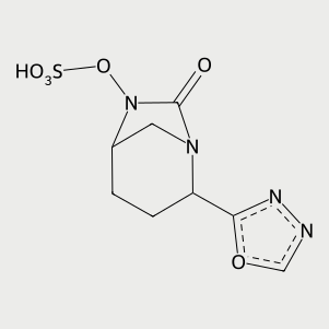 O=C1N2CC(CCC2c2nnco2)N1OS(=O)(=O)O